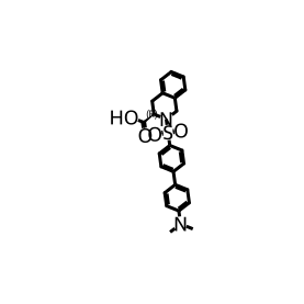 CN(C)c1ccc(-c2ccc(S(=O)(=O)N3Cc4ccccc4C[C@@H]3C(=O)O)cc2)cc1